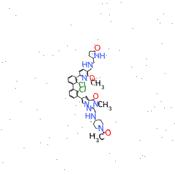 COc1nc(-c2cccc(-c3cccc(-c4cc5c(=O)n(C)c(CNC6CCN(C(C)=O)CC6)nn5c4)c3Cl)c2Cl)ccc1CNCC1CCC(=O)N1